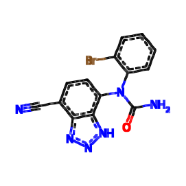 N#Cc1ccc(N(C(N)=O)c2ccccc2Br)c2[nH]nnc12